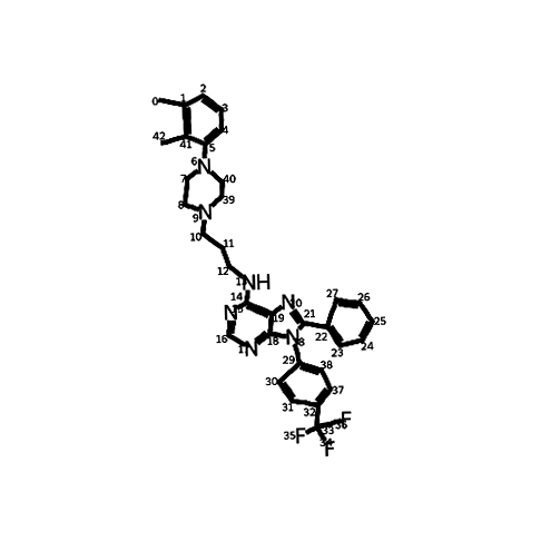 Cc1cccc(N2CCN(CCCNc3ncnc4c3nc(-c3ccccc3)n4-c3ccc(C(F)(F)F)cc3)CC2)c1C